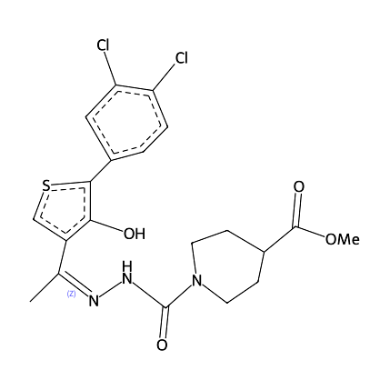 COC(=O)C1CCN(C(=O)N/N=C(/C)c2csc(-c3ccc(Cl)c(Cl)c3)c2O)CC1